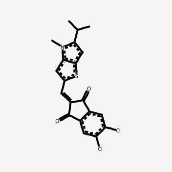 CC(C)c1cc2sc(C=C3C(=O)c4cc(Cl)c(Cl)cc4C3=O)cc2n1C